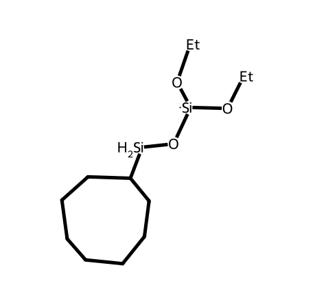 CCO[Si](OCC)O[SiH2]C1CCCCCCC1